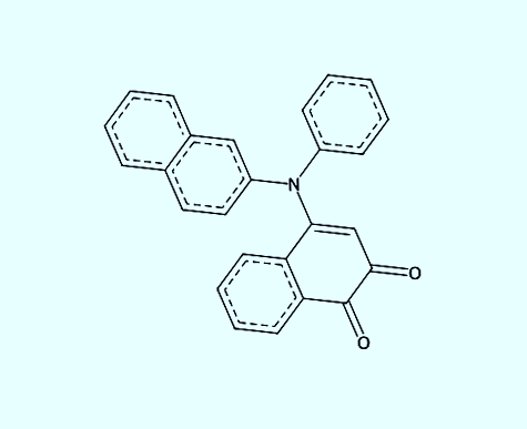 O=C1C=C(N(c2ccccc2)c2ccc3ccccc3c2)c2ccccc2C1=O